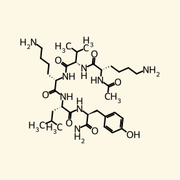 CC(=O)N[C@@H](CCCCN)C(=O)N[C@H](C(=O)N[C@@H](CCCCN)C(=O)N[C@@H](CC(C)C)C(=O)N[C@@H](Cc1ccc(O)cc1)C(N)=O)C(C)C